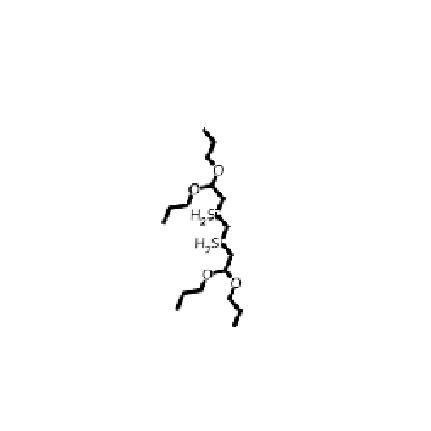 CCCOC(C[SiH2]C[SiH2]CC(OCCC)OCCC)OCCC